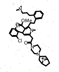 COC(=O)C1=C(CCc2ccccc2CCCN(C)C)N(C)C(CC(=O)N2CCN(C3CC4CCC(C3)N4C)CC2)=CC1c1c(Cl)cccc1Cl